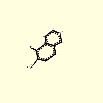 Cc1ccc2cnccc2c1F